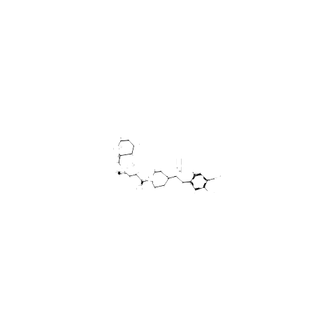 N[C@H](Cc1cc(F)c(F)cc1F)C1CCN(C(=O)CCS(=O)(=O)CC2CCCCO2)CC1